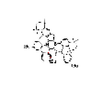 CC1c2c(sc3c2N(c2ccc(C(C)(C)C)cc2-c2ccccc2)c2cc(C(C)(C)C)cc4c2B3c2ccc3c(c2N4C2C=CC(C(C)(C)C)=CC2)C(C)(C)CCC3(C)C)C=C2C1C(C)(C)CCC2(C)C